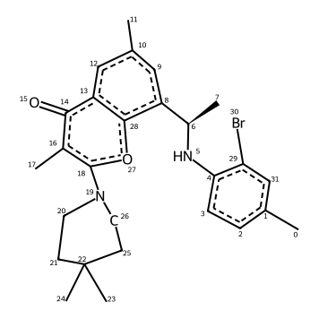 Cc1ccc(N[C@H](C)c2cc(C)cc3c(=O)c(C)c(N4CCC(C)(C)CC4)oc23)c(Br)c1